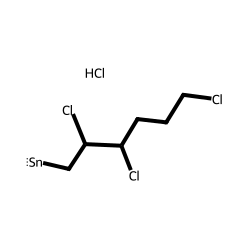 Cl.ClCCCC(Cl)C(Cl)[CH2][Sn]